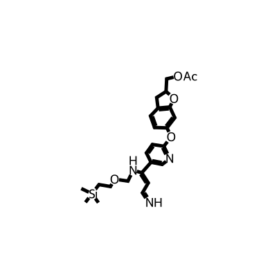 CC(=O)OCC1Cc2ccc(Oc3ccc(/C(=C/C=N)NCOCC[Si](C)(C)C)cn3)cc2O1